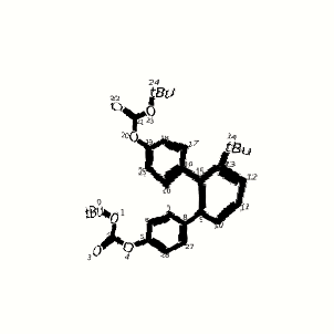 CC(C)(C)OC(=O)Oc1ccc(-c2[c]ccc(C(C)(C)C)c2-c2ccc(OC(=O)OC(C)(C)C)cc2)cc1